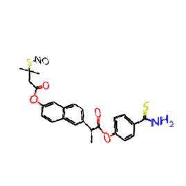 C[C@H](C(=O)Oc1ccc(C(N)=S)cc1)c1ccc2cc(OC(=O)CC(C)(C)SN=O)ccc2c1